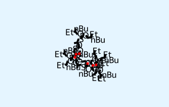 CCCCC(CC)COP(OCC(CC)CCCC)SCC(C)OP(OC(C)CSP(OCC(CC)CCCC)OCC(CC)CCCC)SCC(C)OP(OC(C)CSP(OC(C)CSP(OCC(CC)CCCC)OCC(CC)CCCC)OC(C)CSP(=O)(OCC(CC)CCCC)OCC(CC)CCCC)SCCC(=O)OCC